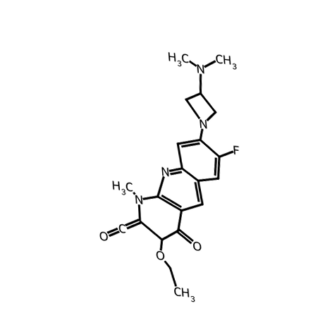 CCOC1C(=O)c2cc3cc(F)c(N4CC(N(C)C)C4)cc3nc2N(C)C1=C=O